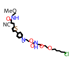 COCCNC(=O)/C(C#N)=C/c1ccc(-c2ccc(N(C)CCOC(=O)NCCOCCOCCCCCCCl)cc2)s1